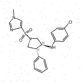 Cn1cnc(S(=O)(=O)N2C[C@@H](Nc3ccc(Cl)cc3)[C@H](c3ccccc3)C2)c1